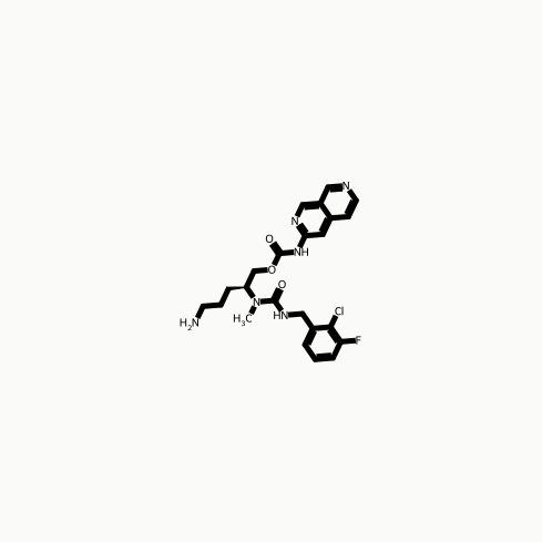 CN(C(=O)NCc1cccc(F)c1Cl)[C@@H](CCCN)COC(=O)Nc1cc2ccncc2cn1